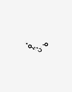 O=C(N1CCC=C[C@@H]1COCc1ccccc1)n1ncc(-c2ccc(OC(F)(F)F)cc2)n1